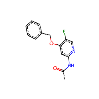 CC(=O)Nc1cc(OCc2ccccc2)c(F)cn1